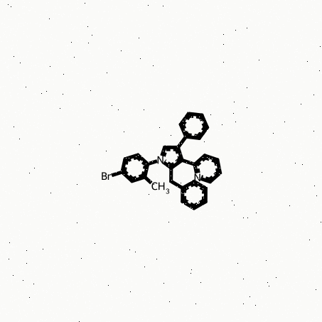 Cc1cc(Br)ccc1-n1cc(-c2ccccc2)c(-c2ccccn2)c1Cc1ccccc1